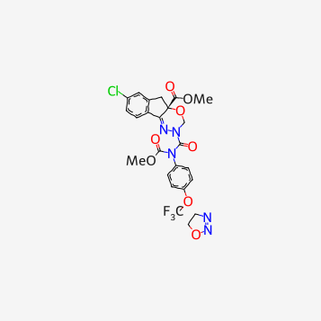 C1CON=N1.COC(=O)N(C(=O)N1CO[C@@]2(C(=O)OC)Cc3cc(Cl)ccc3C2=N1)c1ccc(OC(F)(F)F)cc1